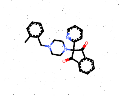 Cc1ccccc1CN1CCN(C2(c3ccccn3)C(=O)c3ccccc3C2=O)CC1